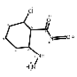 NNC1CCCC(Cl)C1C(=O)N=O